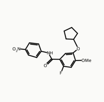 COc1cc(F)c(C(=O)Nc2ccc([N+](=O)[O-])cc2)cc1OC1CCCC1